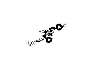 COCCOC[C@@]1(c2ccccc2)C[C@]1(NS(=O)(=O)c1ccc(-c2ccc(Cl)cc2)s1)C(=O)O